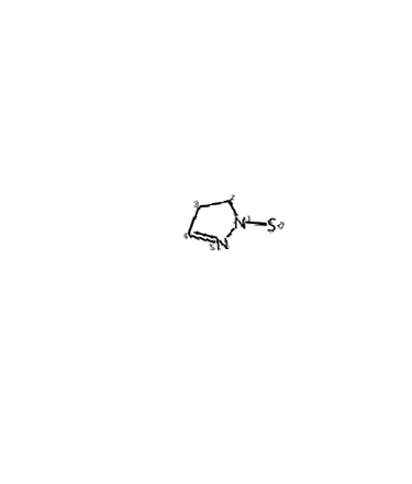 [S]N1CCC=N1